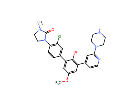 CN1CCN(c2ccc(-c3cc(OC(F)(F)F)cc(-c4ccnc(N5CCNCC5)c4)c3O)cc2Cl)C1=O